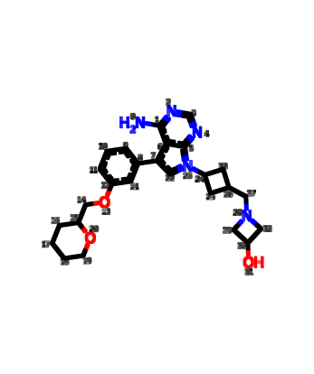 Nc1ncnc2c1c(-c1cccc(OCC3CCCCO3)c1)cn2C1CC(CN2CC(O)C2)C1